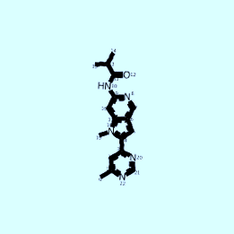 Cc1cc(-c2cc3cnc(NC(=O)C(C)C)cc3n2C)ncn1